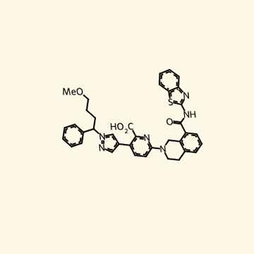 COCCCC(c1ccccc1)n1cc(-c2ccc(N3CCc4cccc(C(=O)Nc5nc6ccccc6s5)c4C3)nc2C(=O)O)cn1